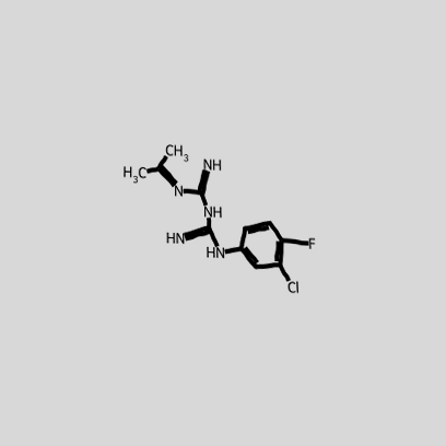 CC(C)=NC(=N)NC(=N)Nc1ccc(F)c(Cl)c1